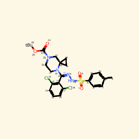 Cc1ccc(S(=O)(=O)N/N=C(\c2c(Cl)cccc2Cl)N2CCN(C(=O)OC(C)(C)C)CC23CC3)cc1